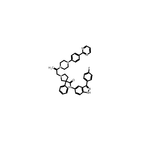 C=C(CN1CCC(C(=O)Nc2ccc3[nH]nc(-c4ccc(F)cc4)c3c2)(c2ccccc2)C1)N1CCN(c2ccc(-c3ncccn3)cc2)CC1